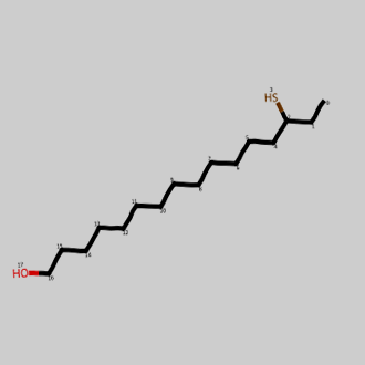 CCC(S)CCCCCCCCCCCCCO